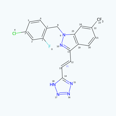 Fc1cc(Cl)ccc1Cn1nc(/C=C/c2nnn[nH]2)c2ccc(C(F)(F)F)cc21